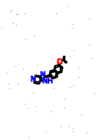 CC(C)Oc1ccc2ccc(-c3nc4cnccc4[nH]3)cc2c1